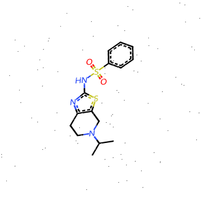 CC(C)N1CCc2nc(NS(=O)(=O)c3ccccc3)sc2C1